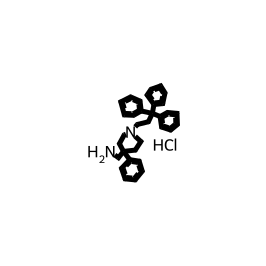 Cl.NCC1(c2ccccc2)CCN(CCC(c2ccccc2)(c2ccccc2)c2ccccc2)CC1